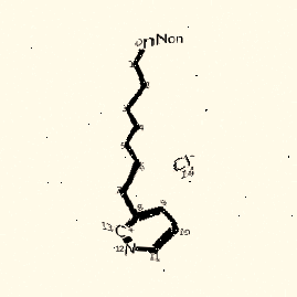 CCCCCCCCCCCCCCCCC1=CC=CN=[C+]1.[Cl-]